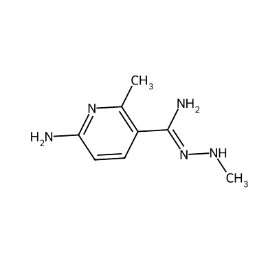 CN/N=C(\N)c1ccc(N)nc1C